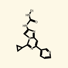 CCNC(=O)Nc1cn2c(C3CC3)nc(-c3cccnc3)cc2n1